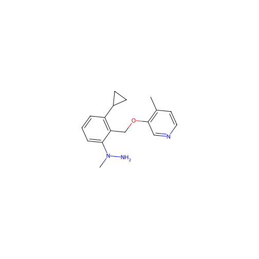 Cc1ccncc1OCc1c(C2CC2)cccc1N(C)N